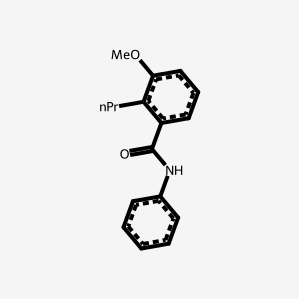 CCCc1c(OC)cccc1C(=O)Nc1ccccc1